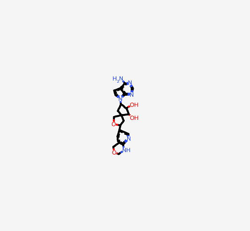 Nc1ncnc2c1ccn2C1CC2(COC(c3cnc4c(c3)COCN4)C2)C(O)C1O